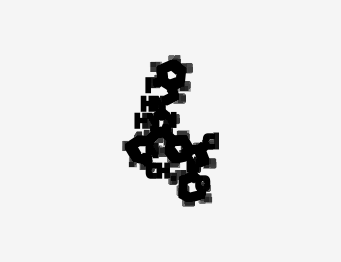 Cc1cccc(-c2[nH]c(NCc3ccccc3F)nc2-c2ccc3c(c2)c(Cl)cn3C2CCCCO2)n1